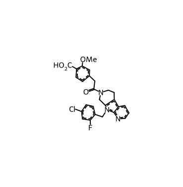 COc1cc(CC(=O)N2CCc3c(n(Cc4ccc(Cl)cc4F)c4ncccc34)C2)ccc1C(=O)O